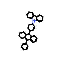 C1=Cc2c(c(-c3ccccc3)c3ccccc3c2C2C=CC(n3c4ccccc4c4ccccc43)CC2)CC1